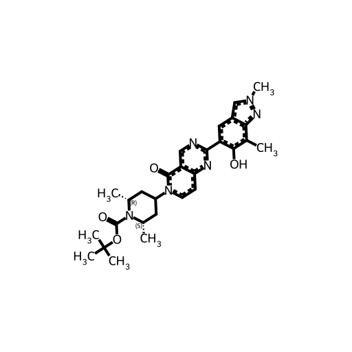 Cc1c(O)c(-c2ncc3c(=O)n(C4C[C@@H](C)N(C(=O)OC(C)(C)C)[C@@H](C)C4)ccc3n2)cc2cn(C)nc12